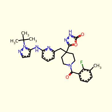 Cc1cccc(C(=O)N2CCC(Cc3cccc(Nc4ccnn4C(C)(C)C)n3)(c3n[nH]c(=O)o3)CC2)c1F